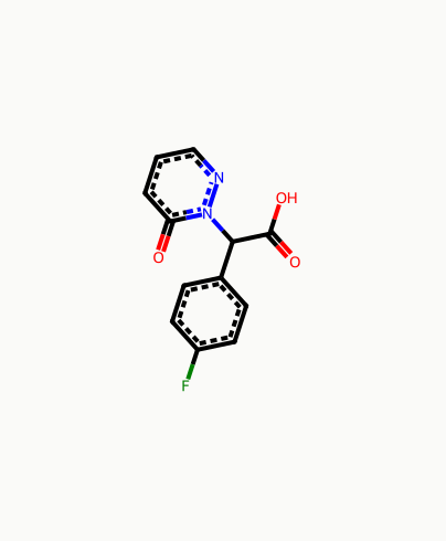 O=C(O)C(c1ccc(F)cc1)n1ncccc1=O